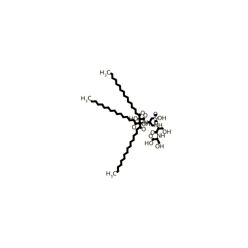 CCCCCCCCCCCCCCCC(=O)C(O)(C(=O)CCCCCCCCCCCCCCC)[C@](O)(C(=O)CCCCCCCCCCCCCCC)C(=O)NC(CNC(CO)C(=O)NC(CO)C(=O)O)CS(=O)(=O)O